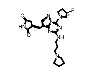 O=C1C/C(=C\c2cnn3c(N4CC[C@@H](F)C4)nc(NCCCN4CCCC4)nc23)C(=O)N1